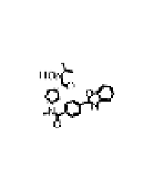 CC(C)N(O)C(=O)[C@H]1CC[C@@H](N(C)C(=O)c2ccc(-c3nc4ccccc4o3)cc2)C1